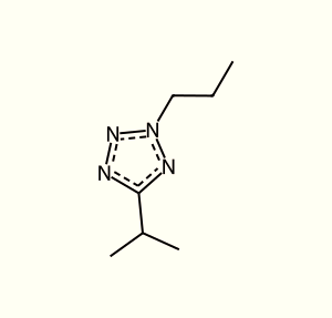 CCCn1nnc(C(C)C)n1